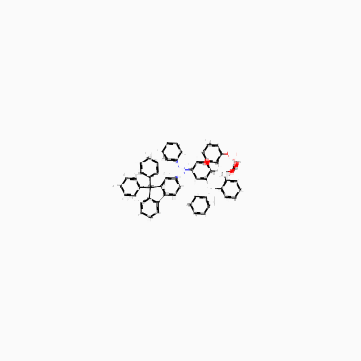 c1ccc(N(c2ccc3c(c2)[SiH](c2ccccc2)c2ccccc2[Si]32c3ccccc3Oc3ccccc32)c2ccc3c(c2)C(c2ccccc2)(c2ccccc2)c2ccccc2-3)cc1